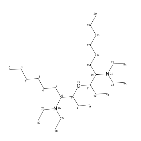 CCCCCCC(C(CC)OC(CC)C(CCCCCC)N(CC)CC)N(CC)CC